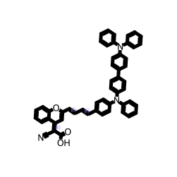 N#C/C(C(=O)O)=C1C=C(/C=C/C=C/c2ccc(N(c3ccccc3)c3ccc(-c4ccc(N(c5ccccc5)c5ccccc5)cc4)cc3)cc2)Oc2ccccc2/1